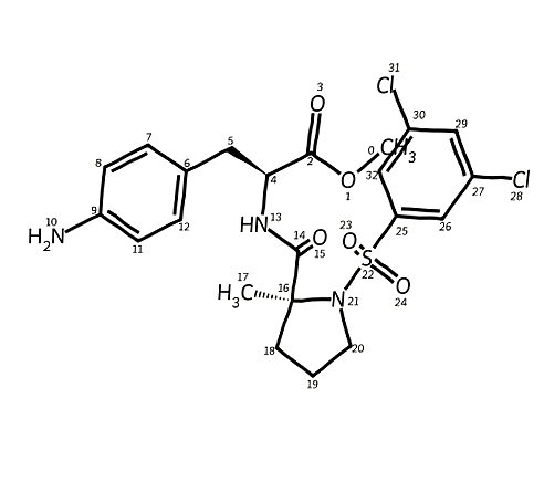 COC(=O)[C@H](Cc1ccc(N)cc1)NC(=O)[C@]1(C)CCCN1S(=O)(=O)c1cc(Cl)cc(Cl)c1